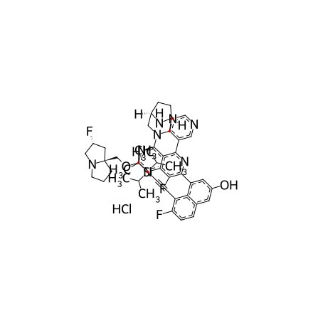 CC(C)[Si](C#Cc1c(F)ccc2cc(O)cc(-c3nc(-c4cncnc4)c4c(N5C[C@H]6CC[C@@H](C5)N6)nc(OC[C@@]56CCCN5C[C@H](F)C6)nc4c3F)c12)(C(C)C)C(C)C.Cl